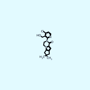 CC1(C)Cc2cc3n(c2C1)CCN(c1nccc(Cl)c1CO)C3=O